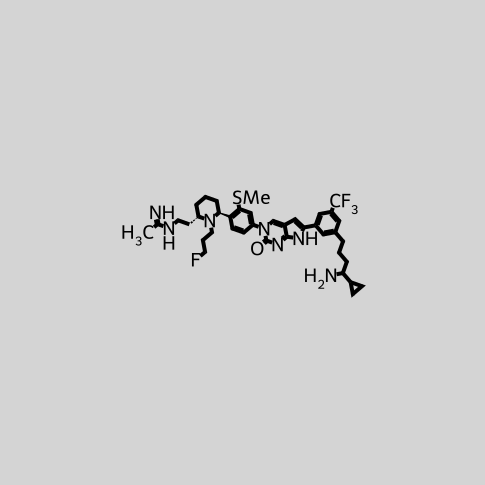 CSc1cc(-n2cc3cc(-c4cc(CCCC(N)C5CC5)cc(C(F)(F)F)c4)[nH]c3nc2=O)ccc1[C@@H]1CCC[C@@H](CCNC(C)=N)N1CCCF